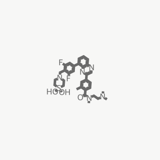 Cc1cc(-c2cnc3cccc(-c4cc(F)c(CN5CCS(O)(O)CC5)c(F)c4)c3n2)ccc1C(=O)N(C)CCN(C)C